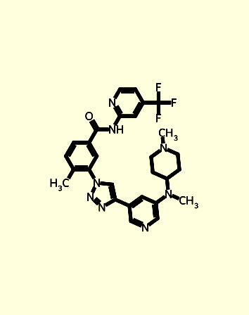 Cc1ccc(C(=O)Nc2cc(C(F)(F)F)ccn2)cc1-n1cc(-c2cncc(N(C)C3CCN(C)CC3)c2)nn1